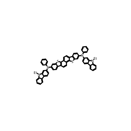 CCn1c2ccccc2c2ccc(N(c3ccccc3)c3ccc4c(c3)sc3c4ccc4c3ccc3c5ccc(N(c6ccccc6)c6ccc7c8ccccc8n(CC)c7c6)cc5sc34)cc21